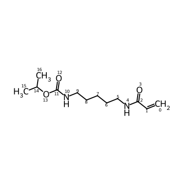 C=CC(=O)NCCCCCNC(=O)OC(C)C